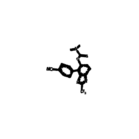 CN(C)C(=S)Oc1ccc2nc(C(F)(F)F)sc2c1-c1ccc(C#N)cc1